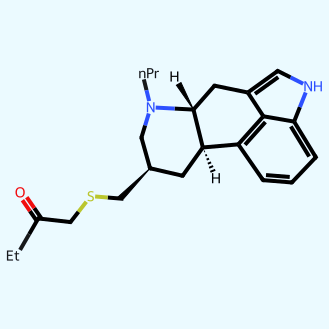 CCCN1C[C@H](CSCC(=O)CC)C[C@@H]2c3cccc4[nH]cc(c34)C[C@H]21